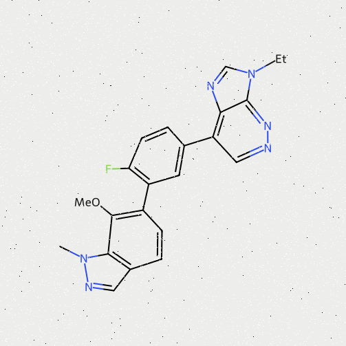 CCn1cnc2c(-c3ccc(F)c(-c4ccc5cnn(C)c5c4OC)c3)cnnc21